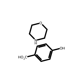 C1COCCN1.O=C(O)c1ccc(O)cc1